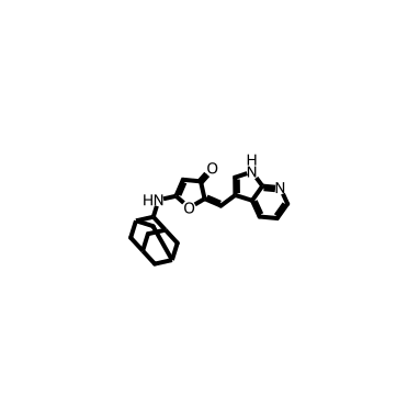 O=C1C=C(NC2C3CC4CC(C3)CC2C4)O/C1=C/c1c[nH]c2ncccc12